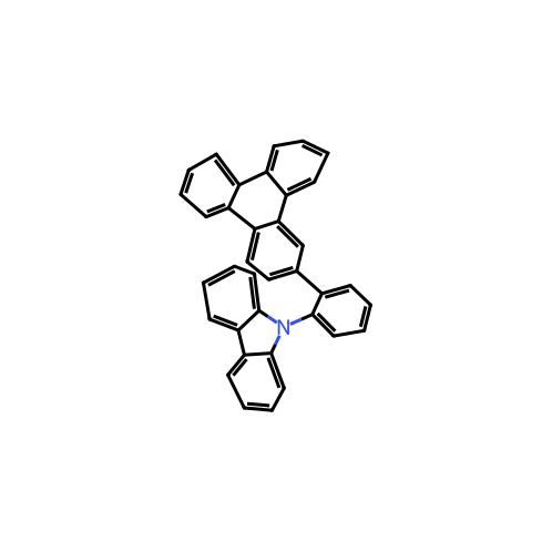 c1ccc(-n2c3ccccc3c3ccccc32)c(-c2ccc3c4ccccc4c4ccccc4c3c2)c1